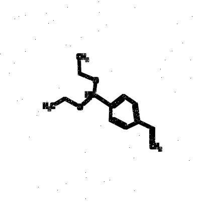 C=Cc1ccc([SiH](OCC)OCC)cc1